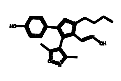 CCCCn1cc(-c2ccc(O)cc2)c(-c2c(C)noc2C)c1C=NO